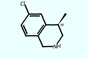 C[C@H]1CNCc2ccc(Cl)cc21